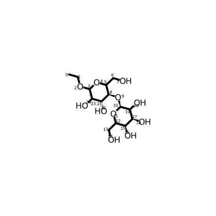 CCOC1OC(CO)[C@@H](O[C@@H]2OC(CO)[C@H](O)[C@H](O)C2O)[C@H](O)C1O